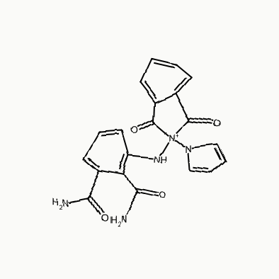 NC(=O)c1cccc(N[N+]2(n3cccc3)C(=O)c3ccccc3C2=O)c1C(N)=O